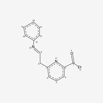 CCC(=O)c1cccc(CC=Nc2ccccc2)n1